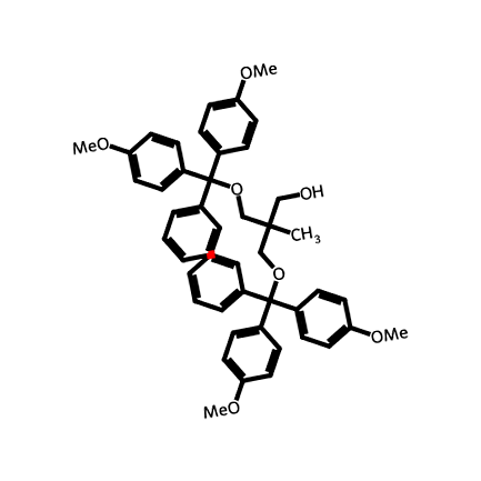 COc1ccc(C(OCC(C)(CO)COC(c2ccccc2)(c2ccc(OC)cc2)c2ccc(OC)cc2)(c2ccccc2)c2ccc(OC)cc2)cc1